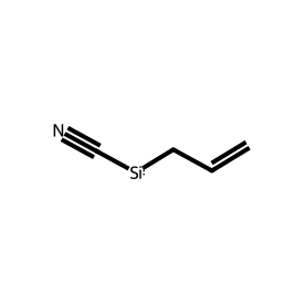 C=CC[Si]C#N